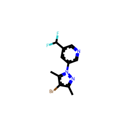 Cc1nn(-c2cncc(C(F)F)c2)c(C)c1Br